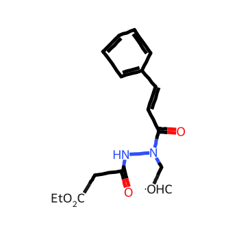 CCOC(=O)CC(=O)NN(C[C]=O)C(=O)C=Cc1ccccc1